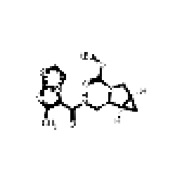 Cc1nc2sccn2c1C(=O)NC[C@@H]1[C@@H]2C[C@@H]2CN1C(=O)OC(C)(C)C